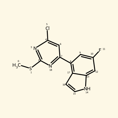 CSc1nc(Cl)cc(-c2cc(F)cc3[nH]ccc23)n1